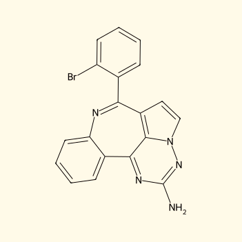 Nc1nc2c3c(ccn3n1)C(c1ccccc1Br)=Nc1ccccc1-2